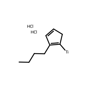 CCCCC1=[C]([Ti])CC=C1.Cl.Cl